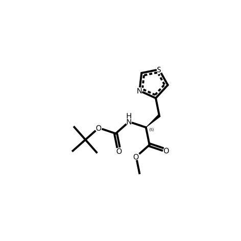 COC(=O)[C@H](Cc1cscn1)NC(=O)OC(C)(C)C